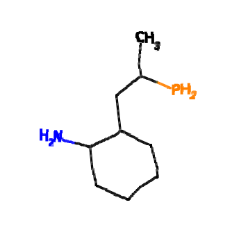 CC(P)CC1CCCCC1N